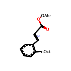 CCCCCCCCc1ccccc1/C=C/C(=O)OOC